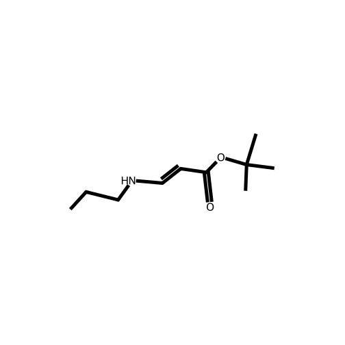 CCCNC=CC(=O)OC(C)(C)C